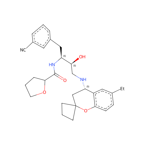 CCc1ccc2c(c1)[C@@H](NC[C@H](O)[C@H](Cc1cccc(C#N)c1)NC(=O)C1CCCO1)CC1(CCC1)O2